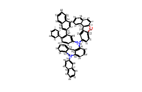 c1ccc(-c2ccc(N(c3ccc4oc5ccc6ccccc6c5c4c3)c3cccc4c3c3ccccc3n4-c3ccc4ccccc4c3)cc2-c2ccc3ccccc3c2)cc1